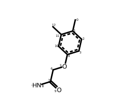 Cc1ccc(OCC([NH])=O)cc1C